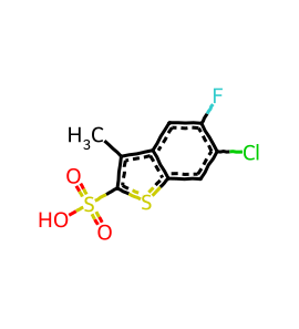 Cc1c(S(=O)(=O)O)sc2cc(Cl)c(F)cc12